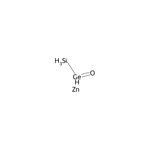 [O]=[GeH][SiH3].[Zn]